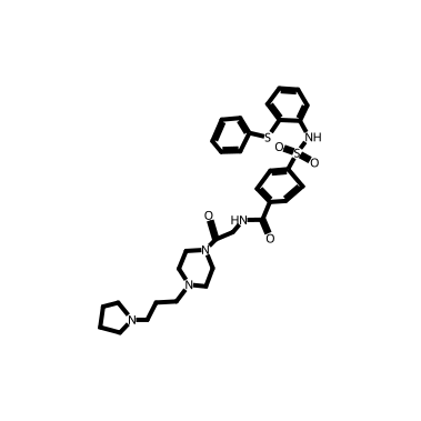 O=C(NCC(=O)N1CCN(CCCN2CCCC2)CC1)c1ccc(S(=O)(=O)Nc2ccccc2Sc2ccccc2)cc1